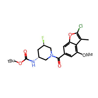 COc1cc(C(=O)N2C[C@H](F)C[C@@H](NC(=O)OC(C)(C)C)C2)cc2oc(Cl)c(C)c12